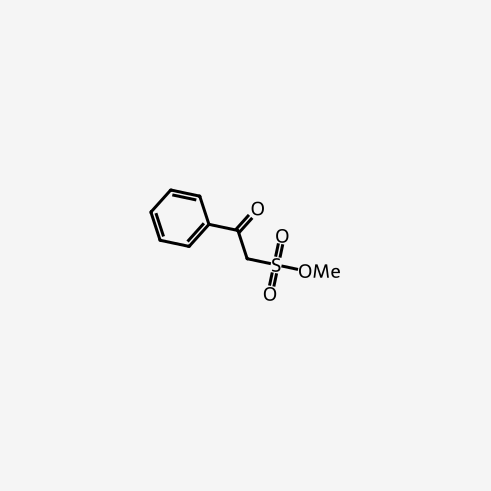 COS(=O)(=O)CC(=O)c1ccccc1